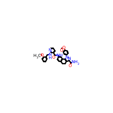 COc1ccccc1CNc1ncccc1C(=O)Nc1ccc2c(c1)-c1c(c(C(N)=O)nn1-c1ccc3c(c1)OCO3)CC2